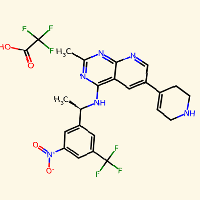 Cc1nc(N[C@H](C)c2cc([N+](=O)[O-])cc(C(F)(F)F)c2)c2cc(C3=CCNCC3)cnc2n1.O=C(O)C(F)(F)F